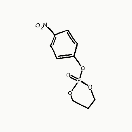 O=[N+]([O-])c1ccc(OP2(=O)OCCCO2)cc1